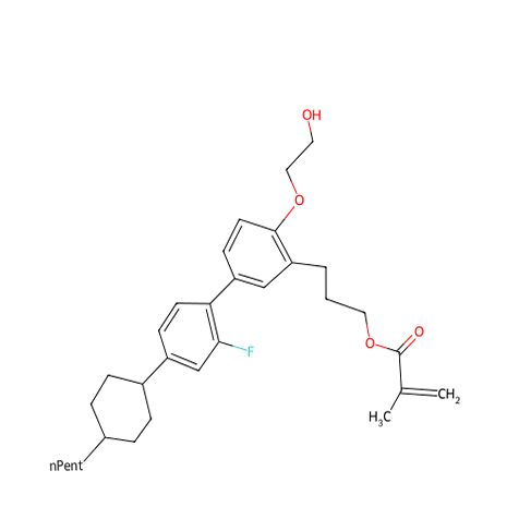 C=C(C)C(=O)OCCCc1cc(-c2ccc(C3CCC(CCCCC)CC3)cc2F)ccc1OCCO